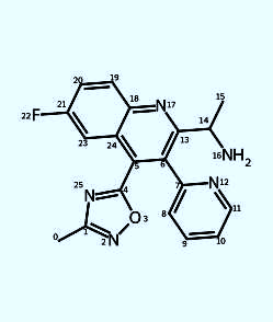 Cc1noc(-c2c(-c3ccccn3)c(C(C)N)nc3ccc(F)cc23)n1